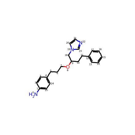 Nc1ccc(CCCOC(CCc2ccccc2)Cn2ccnc2)cc1